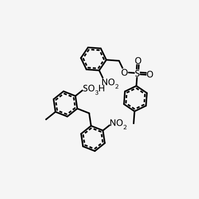 Cc1ccc(S(=O)(=O)O)c(Cc2ccccc2[N+](=O)[O-])c1.Cc1ccc(S(=O)(=O)OCc2ccccc2[N+](=O)[O-])cc1